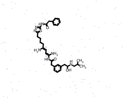 CC(C)CNC(O)Cc1cccc(CC(=O)N/C(N)=C/C=C(\N)CCCCc2nnc(NC(=O)Cc3ccccc3)s2)c1